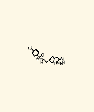 O=S(=O)(NCCc1ccc(Cc2nnn[nH]2)cc1)c1ccc(Cl)cc1